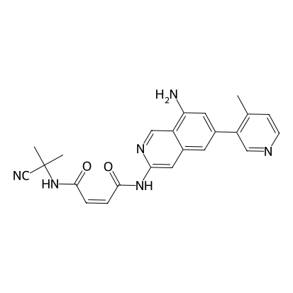 Cc1ccncc1-c1cc(N)c2cnc(NC(=O)/C=C\C(=O)NC(C)(C)C#N)cc2c1